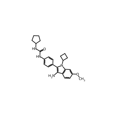 COc1ccc2c(N)c(-c3ccc(NC(=O)NC4CCCC4)cc3)n(C3CCC3)c2c1